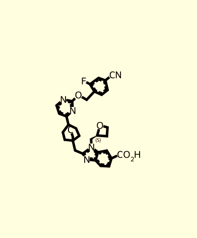 N#Cc1ccc(COc2nccc(C34CCC(Cc5nc6ccc(C(=O)O)cc6n5C[C@@H]5CCO5)(CC3)CC4)n2)c(F)c1